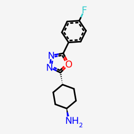 N[C@H]1CC[C@H](c2nnc(-c3ccc(F)cc3)o2)CC1